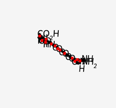 CC/C(I)=C(OCCCNCCOCCOCCOCCOCCOCCOCCOC1=CC=C(CNC(=N)N)CCC1)\C(I)=C/COC1=C(I)CC(CC(=O)O)C=C1I